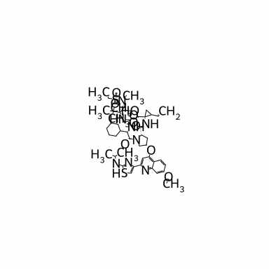 C=CC1C[C@]1(NC(=O)[C@@H]1C[C@@H](Oc2cc(-c3csc(NC(C)C)n3)nc3cc(OC)ccc23)CN1C(=O)[C@@H](NC(=O)NC(CN(C)S(=O)(=O)CC)C(C)(C)C)C1CCCCC1)C(=O)O